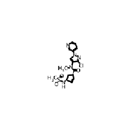 CN(C(=O)[C@H]1C=C[C@@H](NS(C)(=O)=O)C1)c1cn(-c2cccnc2)nc1Cl